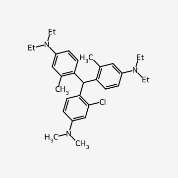 CCN(CC)c1ccc(C(c2ccc(N(CC)CC)cc2C)c2ccc(N(C)C)cc2Cl)c(C)c1